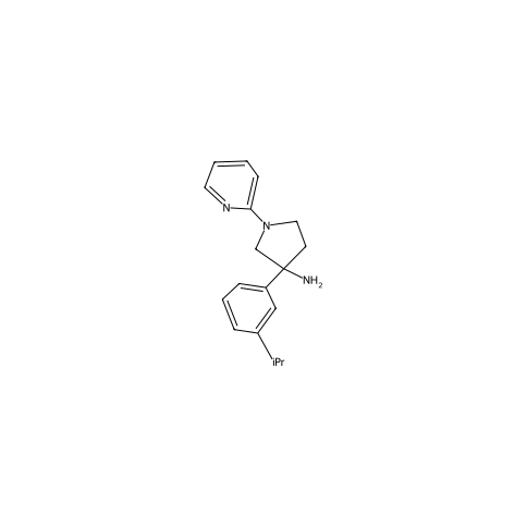 CC(C)c1cccc(C2(N)CCN(c3ccccn3)C2)c1